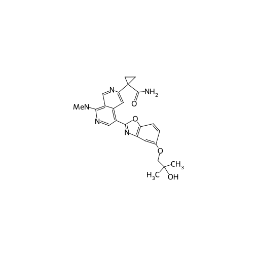 CNc1ncc(-c2nc3cc(OCC(C)(C)O)ccc3o2)c2cc(C3(C(N)=O)CC3)ncc12